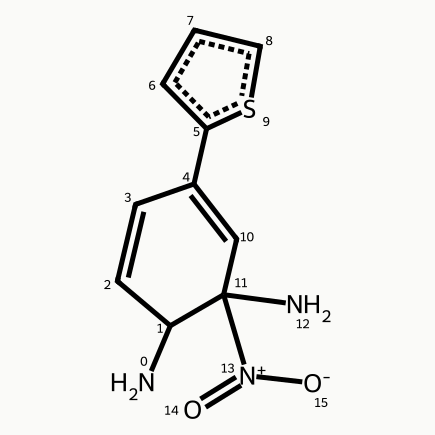 NC1C=CC(c2cccs2)=CC1(N)[N+](=O)[O-]